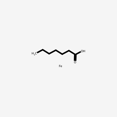 CCCCCCC(=O)O.[Fe]